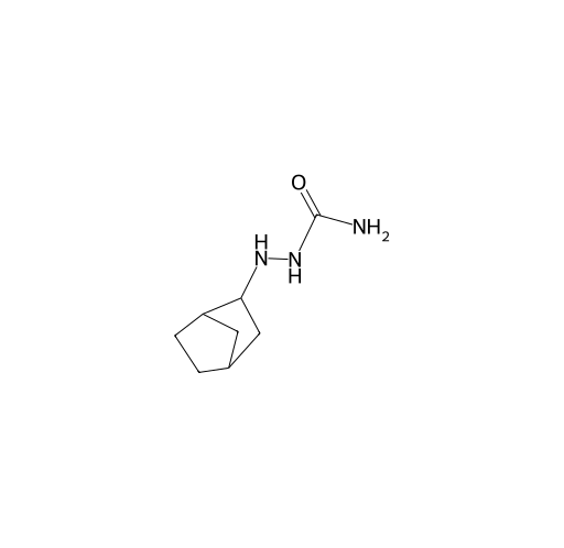 NC(=O)NNC1CC2CCC1C2